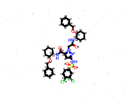 O=C(Cn1nc(NS(=O)(=O)c2ccc(Cl)c(Cl)c2)cc1C(=O)N[C@H]1CCCC[C@@H]1OCc1ccccc1)N[C@H]1CCCC[C@@H]1OCc1ccccc1